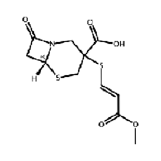 COC(=O)C=CSC1(C(=O)O)CS[C@@H]2CC(=O)N2C1